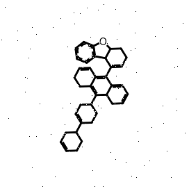 C1=CCC2C(=C1)C(C1=CCCC3Oc4ccccc4C13)=C1C=CCCC1=C2C1CC=C(C2CC=CCC2)CC1